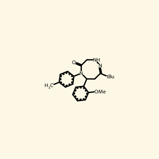 COc1ccccc1C1C/C(C(C)(C)C)=N\NCC(=O)N1c1ccc(C)cc1